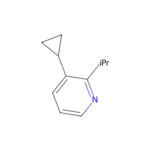 CC(C)c1ncccc1C1CC1